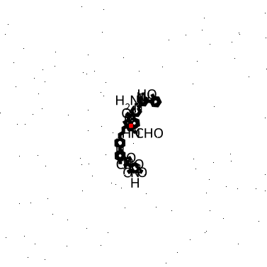 CN(C(=O)c1cc(N2CCC(CCCC3(CCNC=O)CN(C(=O)C4(c5ccccc5)CCN(c5cc(-c6ccccc6O)nnc5N)CC4)C3)CC2)ccc1C=O)C1CCC(=O)NC1=O